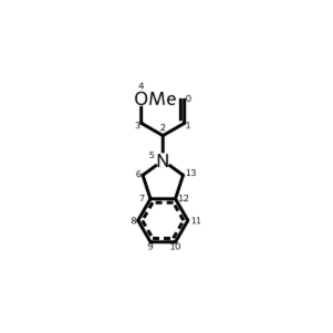 C=CC(COC)N1Cc2ccccc2C1